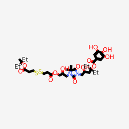 CCC(C)(CC)OC(=O)CCSSCCC(=O)OCC(O)CN1C(=O)N(CC(O)CC(CC)(CC)OC(=O)c2cc(O)c(O)c(O)c2)C(=O)C1(C)C